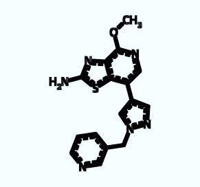 COc1ncc(-c2cnn(Cc3cccnc3)c2)c2sc(N)nc12